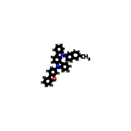 CC1C=Cc2cc(-n3c4ccccc4c4ccc5c(c6ccccc6n5-c5ccc6c(c5)oc5ccccc56)c43)ccc2C1